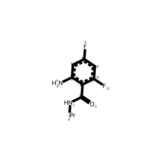 CC(C)NC(=O)c1c(N)cc(F)cc1F